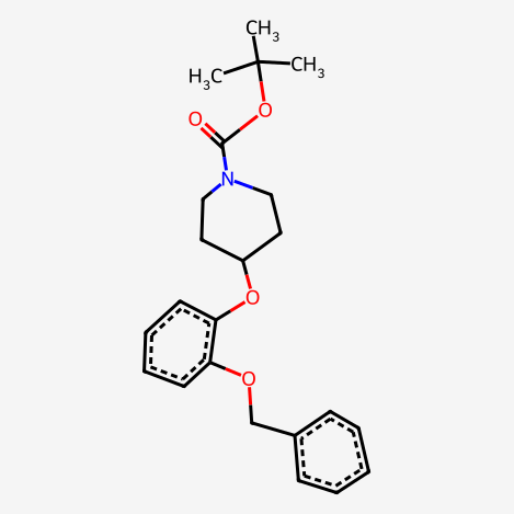 CC(C)(C)OC(=O)N1CCC(Oc2ccccc2OCc2ccccc2)CC1